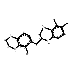 Cc1ccc2c(c1C)OCC(Cc1ccc3c(c1C)OCCO3)O2